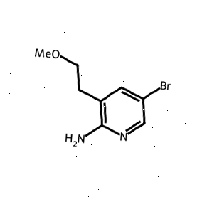 COCCc1cc(Br)cnc1N